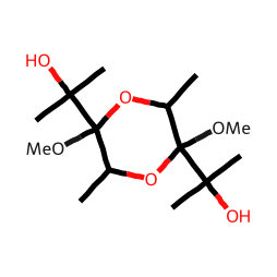 COC1(C(C)(C)O)OC(C)C(OC)(C(C)(C)O)OC1C